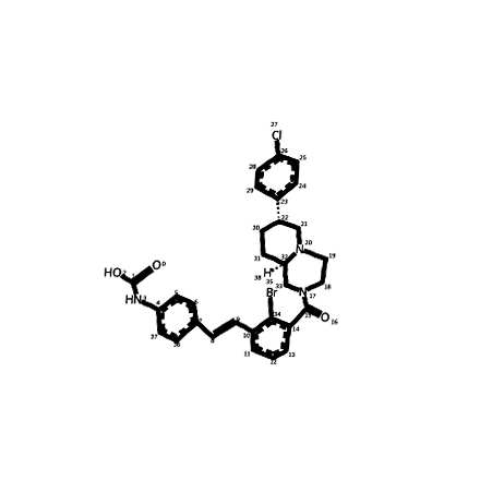 O=C(O)Nc1ccc(/C=C/c2cccc(C(=O)N3CCN4C[C@@H](c5ccc(Cl)cc5)CC[C@@H]4C3)c2Br)cc1